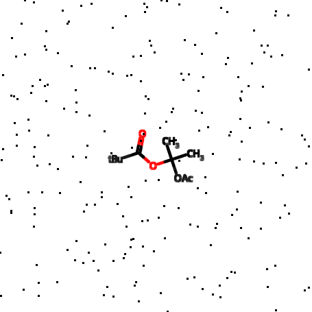 CC(=O)OC(C)(C)OC(=O)C(C)(C)C